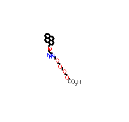 O=C(O)COCCOCCOCCOCCn1cc(COCc2ccc3ccc4cccc5ccc2c3c45)nn1